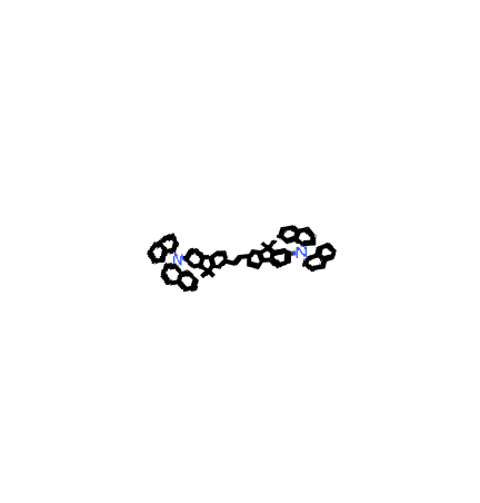 CC1(C)c2cc(/C=C/c3ccc4c(c3)C(C)(C)C3CC(N(c5cccc6ccccc56)c5cccc6ccccc56)=CC=C43)ccc2-c2ccc(N(c3cccc4ccccc34)C3CC=Cc4ccccc43)cc21